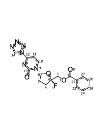 O=C(OC[C@]1(F)CC[C@H](n2ccc(-n3cnnn3)nc2=O)O1)c1ccccc1